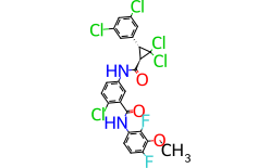 COc1c(F)ccc(NC(=O)c2cc(NC(=O)[C@H]3[C@H](c4cc(Cl)cc(Cl)c4)C3(Cl)Cl)ccc2Cl)c1F